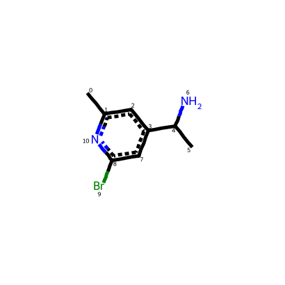 Cc1cc(C(C)N)cc(Br)n1